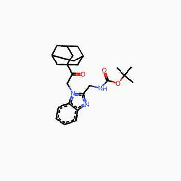 CC(C)(C)OC(=O)NCc1nc2ccccc2n1CC(=O)C12CC3CC(CC(C3)C1)C2